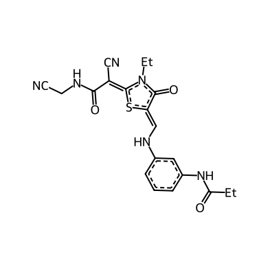 CCC(=O)Nc1cccc(NC=c2sc(=C(C#N)C(=O)NCC#N)n(CC)c2=O)c1